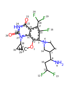 COc1c(N2CCC(C(N)CC(F)F)C2)c(F)c(C(F)F)c2c(=O)[nH]c(=O)n(C3CC3)c12